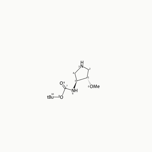 CO[C@H]1CNC[C@@H]1NC(=O)OC(C)(C)C